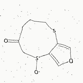 O=C1CCCSc2cocc2[S+]([O-])C1